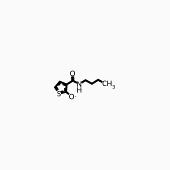 CCCCNC(=O)c1ccsc1[O]